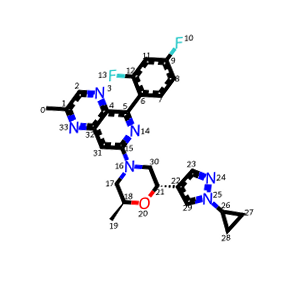 Cc1cnc2c(-c3ccc(F)cc3F)nc(N3C[C@H](C)O[C@@H](c4cnn(C5CC5)c4)C3)cc2n1